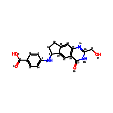 O=C(O)c1ccc(N[C@H]2CCc3cc4nc(CO)[nH]c(=O)c4cc32)cc1